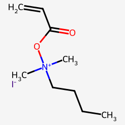 C=CC(=O)O[N+](C)(C)CCCC.[I-]